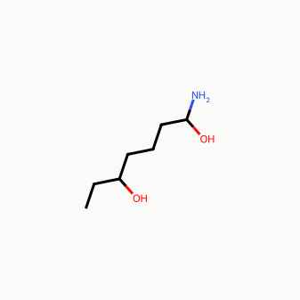 CCC(O)CCCC(N)O